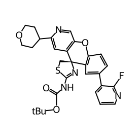 CC(C)(C)OC(=O)NC1=N[C@@]2(CS1)c1cc(-c3cccnc3F)ccc1Oc1cnc(C3CCOCC3)cc12